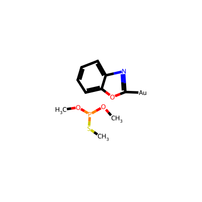 COP(OC)SC.[Au][c]1nc2ccccc2o1